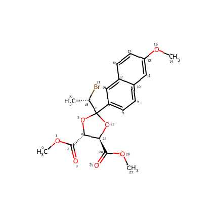 COC(=O)[C@@H]1OC(c2ccc3cc(OC)ccc3c2)([C@H](C)Br)O[C@H]1C(=O)OC